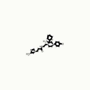 Cc1cn(CCC(=O)NCCN2CCN(c3ccc(Cl)cc3)CC2(C)c2ccccc2)cn1